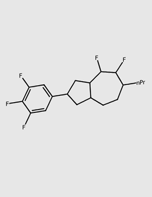 CCCC1CCC2CC(c3cc(F)c(F)c(F)c3)CC2C(F)C1F